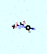 COC(Nc1ccc(C#N)c(Br)c1)C(C)NC(=O)OC(C)(C)C